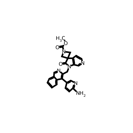 COC(=O)N1CC2(C1)C(=O)N(Cc1ncc3ccccc3c1-c1ccc(N)nc1)c1cnccc12